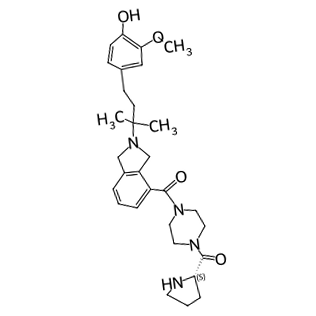 COc1cc(CCC(C)(C)N2Cc3cccc(C(=O)N4CCN(C(=O)[C@@H]5CCCN5)CC4)c3C2)ccc1O